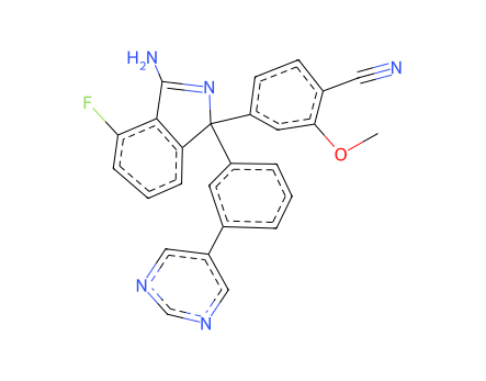 COc1cc(C2(c3cccc(-c4cncnc4)c3)N=C(N)c3c(F)cccc32)ccc1C#N